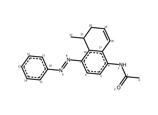 CC(=O)Nc1ccc(N=Nc2ccccc2)c2c1C=CCC2C